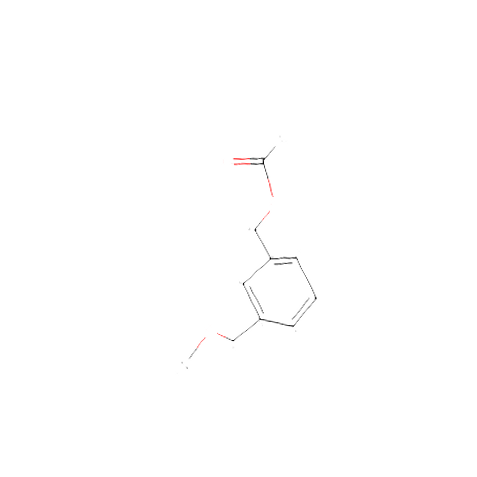 CC(=O)C(=O)OCc1cccc(CO[N+](=O)[O-])c1